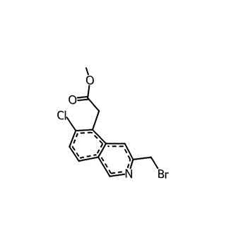 COC(=O)Cc1c(Cl)ccc2cnc(CBr)cc12